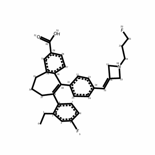 CCc1cc(F)ccc1C1=C(c2ccc(C=C3CN(CCCF)C3)cc2)c2ccc(C(=O)O)cc2CCC1